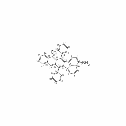 Bc1ccc2c3c(cccc13)-c1c-2c(-c2ccccc2Cl)c2cc3ccccc3cc2c1-c1ccccc1